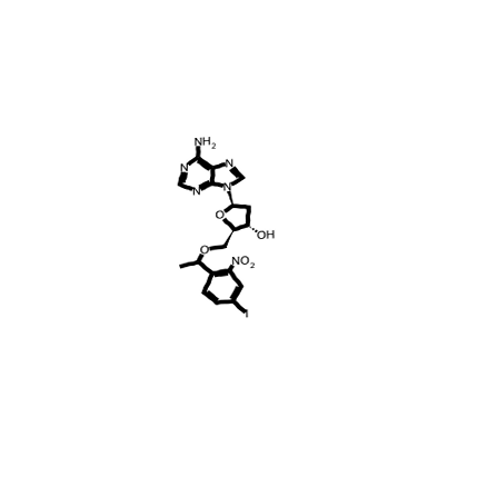 CC(OC[C@H]1O[C@@H](n2cnc3c(N)ncnc32)C[C@@H]1O)c1ccc(I)cc1[N+](=O)[O-]